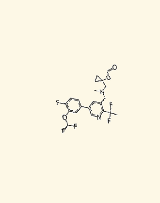 CN(Cc1cc(-c2ccc(F)c(OC(F)F)c2)cnc1C(C)(F)F)CC1(OC=O)CC1